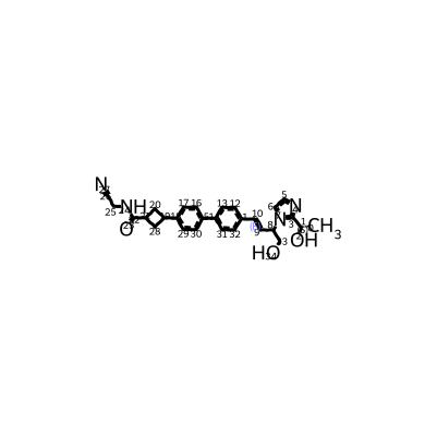 C[C@H](O)c1nccn1C(/C=C/c1ccc(-c2ccc(C3CC(C(=O)NCC#N)C3)cc2)cc1)CO